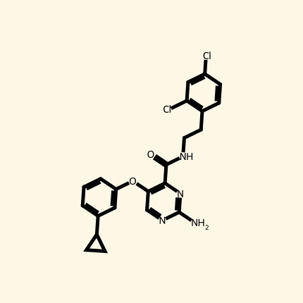 Nc1ncc(Oc2cccc(C3CC3)c2)c(C(=O)NCCc2ccc(Cl)cc2Cl)n1